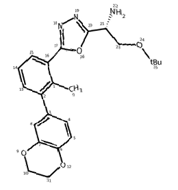 Cc1c(-c2ccc3c(c2)OCCO3)cccc1-c1nnc([C@H](N)COC(C)(C)C)o1